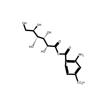 Nc1cc(C(=O)O)ccc1C(=O)OC(=O)[C@H](O)[C@@H](O)[C@H](O)[C@H](O)CO